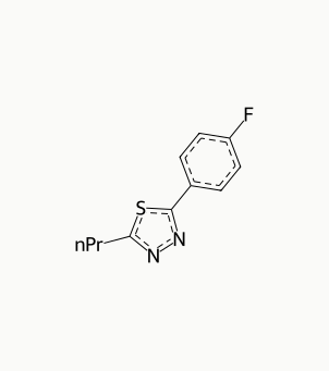 CCCc1nnc(-c2ccc(F)cc2)s1